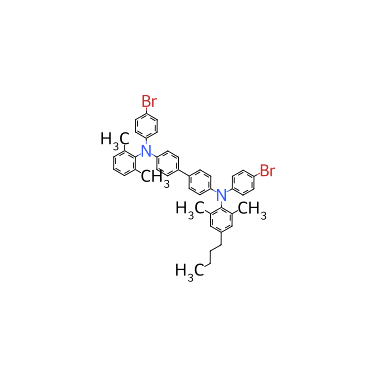 CCCCc1cc(C)c(N(c2ccc(Br)cc2)c2ccc(-c3ccc(N(c4ccc(Br)cc4)c4c(C)cccc4C)cc3)cc2)c(C)c1